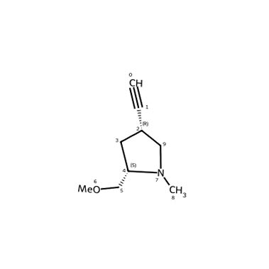 C#C[C@H]1C[C@@H](COC)N(C)C1